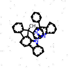 CC1(c2ccccc2)c2ccccc2-c2ccc3c4ccccc4n(-c4nc(-c5ccccc5)c5ccccc5n4)c3c21